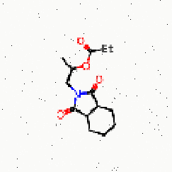 CCC(=O)OC(C)CN1C(=O)C2CCCCC2C1=O